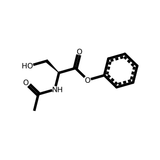 CC(=O)N[C@@H](CO)C(=O)Oc1ccccc1